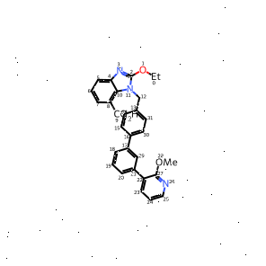 CCOc1nc2cccc(C(=O)O)c2n1Cc1ccc(-c2cccc(-c3cccnc3OC)c2)cc1